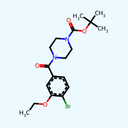 CCOc1cc(C(=O)N2CCN(C(=O)OC(C)(C)C)CC2)ccc1Br